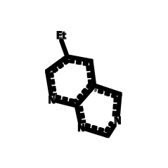 CCc1cnc2ncncc2c1